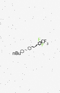 CCCC[C@H]1CC[C@H](CC[C@H]2CC[C@H](C=CC#Cc3cc(F)c(C(F)(F)F)c(F)c3)CC2)CC1